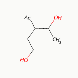 CC(=O)C(CCO)C(C)O